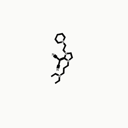 CCN(CC)CCCN1CCN(CCN2CCCCC2)C1=C(C#N)C#N